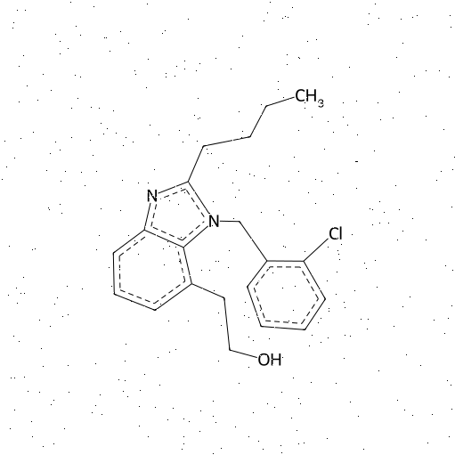 CCCCc1nc2cccc(CCO)c2n1Cc1ccccc1Cl